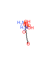 NP(=O)(O)OC(CCCCC(=O)CCCCCCCC=O)OP(N)(=O)O